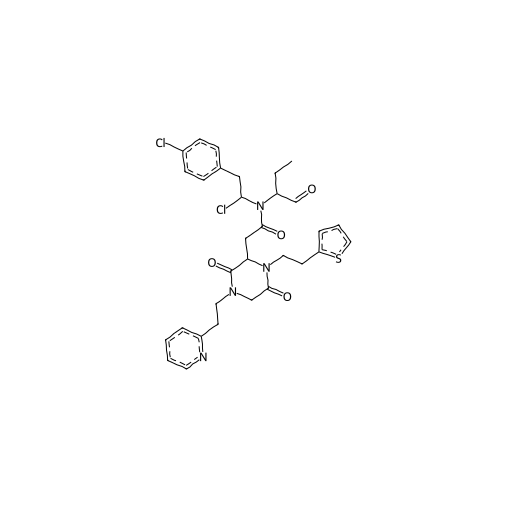 CCC(C=O)N(C(=O)CC1C(=O)N(CCc2ccccn2)CC(=O)N1CCc1cccs1)C(Cl)Cc1ccc(Cl)cc1